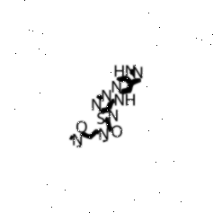 CN(C)C(=O)CCN(C)C(=O)c1nc2c(Nc3cc4cn[nH]c4cn3)ncnc2s1